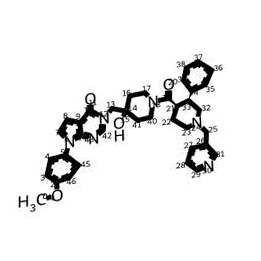 COc1ccc(-n2ccc3c(=O)n(CC4(O)CCN(C(=O)[C@@H]5CCN(Cc6cccnc6)C[C@H]5c5ccccc5)CC4)cnc32)cc1